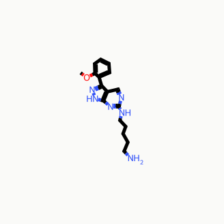 COc1ccccc1-c1n[nH]c2nc(NCCCCCN)ncc12